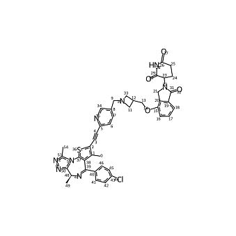 Cc1c(C#Cc2ccc(CN3CC(COc4cccc5c4CN(C4CCC(=O)NC4=O)C5=O)C3)cn2)sc2c1C(c1ccc(Cl)cc1)=N[C@@H](C)c1nnc(C)n1-2